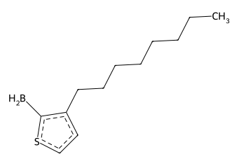 Bc1sccc1CCCCCCCC